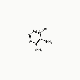 Nc1ccnc(Br)c1N